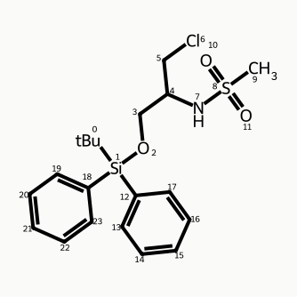 CC(C)(C)[Si](OCC(CCl)NS(C)(=O)=O)(c1ccccc1)c1ccccc1